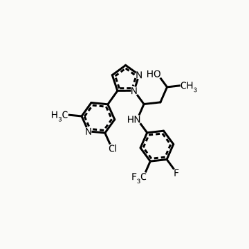 Cc1cc(-c2ccnn2C(CC(C)O)Nc2ccc(F)c(C(F)(F)F)c2)cc(Cl)n1